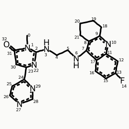 Cn1c(NCCNc2c3c(nc4cc(F)ccc24)CCCC3)nc(-c2ccncn2)cc1=O